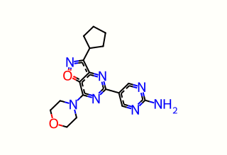 Nc1ncc(-c2nc(N3CCOCC3)c3onc(C4CCCC4)c3n2)cn1